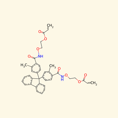 C=CC(=O)OCCONC(=O)c1ccc(C2(c3ccc(C(=O)NOCCOC(=O)C=C)c(C)c3)c3ccccc3-c3ccccc32)cc1C